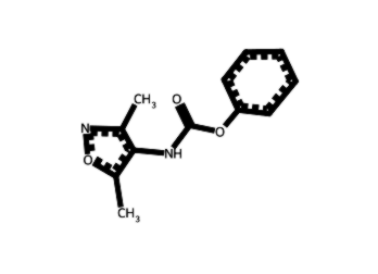 Cc1noc(C)c1NC(=O)Oc1ccccc1